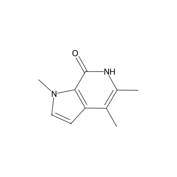 Cc1[nH]c(=O)c2c(ccn2C)c1C